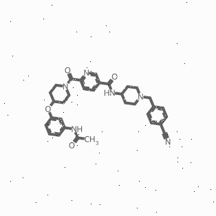 CC(=O)Nc1cccc(OC2CCN(C(=O)c3ccc(C(=O)NC4CCN(Cc5ccc(C#N)cc5)CC4)cn3)CC2)c1